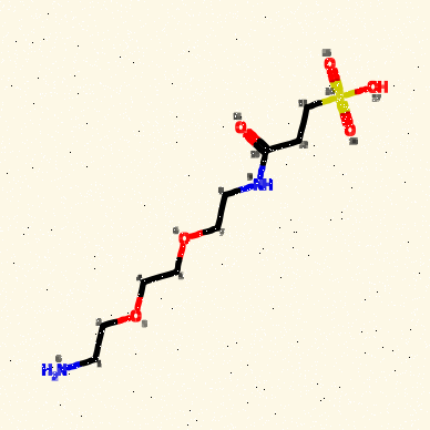 NCCOCCOCCNC(=O)CCS(=O)(=O)O